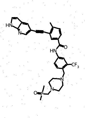 Cc1ccc(C(=O)Nc2ccc(CN3CCN(CP(C)(C)=O)CC3)c(C(F)(F)F)c2)cc1C#Cc1cnc2[nH]ccc2c1